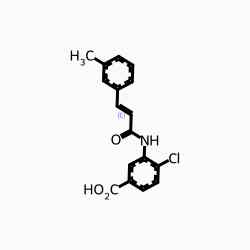 Cc1cccc(/C=C/C(=O)Nc2cc(C(=O)O)ccc2Cl)c1